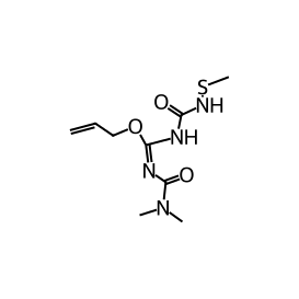 C=CCOC(=NC(=O)N(C)C)NC(=O)NSC